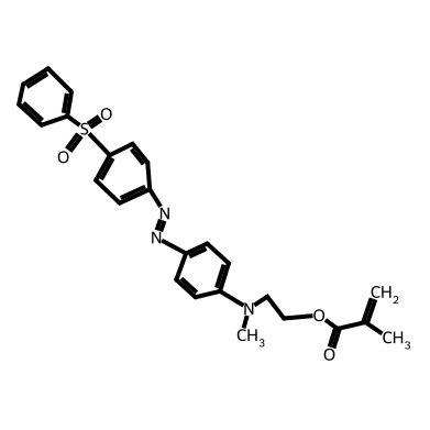 C=C(C)C(=O)OCCN(C)c1ccc(/N=N/c2ccc(S(=O)(=O)c3ccccc3)cc2)cc1